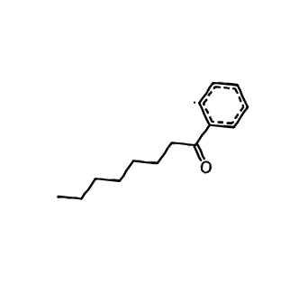 CCCCCCCC(=O)c1[c]cccc1